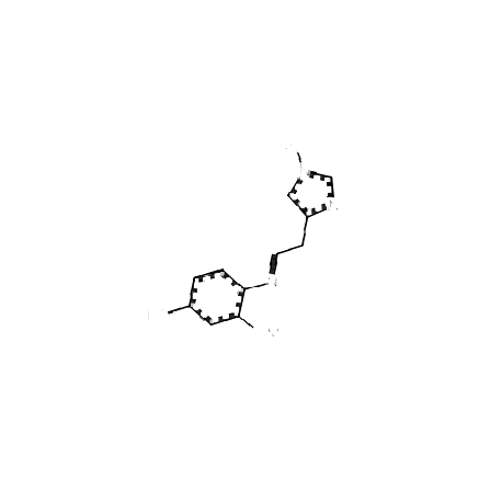 COc1cc(C)ccc1N=CCc1cn(C)cn1